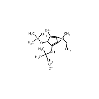 CC[Si]1(C)C2=[C]([Zr+2])C(O[Si](C)(C)C)C(NC(C)(C)C)=C21.[Cl-].[Cl-]